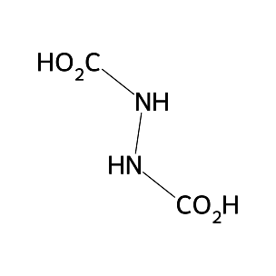 O=C(O)NNC(=O)O